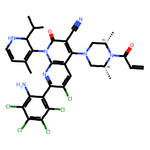 C=CC(=O)N1[C@H](C)CN(c2c(C#N)c(=O)n(C3=C(C)C=CNC3C(C)C)c3nc(-c4c(N)c(Cl)c(Cl)c(Cl)c4Cl)c(Cl)cc23)C[C@@H]1C